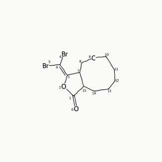 O=C1OC(=C(Br)Br)C2CCCCCCCC12